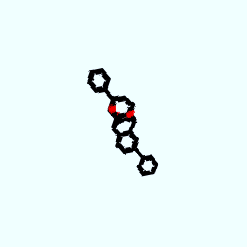 O=C1C(=O)C2c3ccc(-c4ccccc4)cc3C1c1ccc(-c3ccccc3)cc12